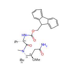 CC[C@H](C)[C@@H]([C@@H](CC(N)=O)OC)N(C)C(=O)[C@@H](NC(=O)OCC1c2ccccc2-c2ccccc21)C(C)C